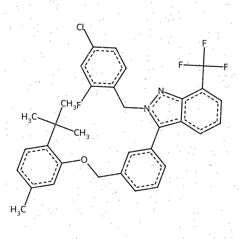 Cc1ccc(C(C)(C)C)c(OCc2cccc(-c3c4cccc(C(F)(F)F)c4nn3Cc3ccc(Cl)cc3F)c2)c1